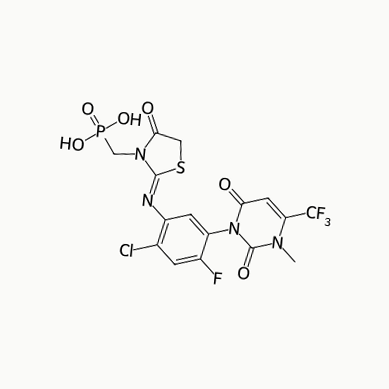 Cn1c(C(F)(F)F)cc(=O)n(-c2cc(N=C3SCC(=O)N3CP(=O)(O)O)c(Cl)cc2F)c1=O